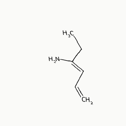 C=CC=C(N)CC